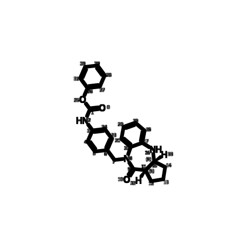 O=C(Nc1ccc(CN2C(=O)[C@H]3CCC[C@H]3Nc3ccccc32)cc1)Oc1ccccc1